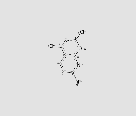 Cc1cc(=O)c2ccc(C(C)C)nc2o1